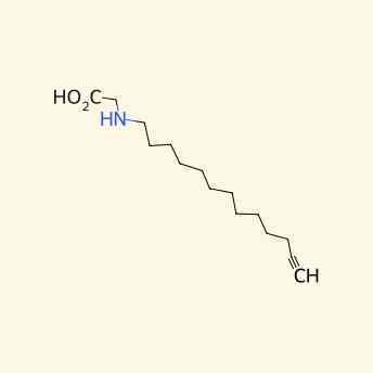 C#CCCCCCCCCCCCNCC(=O)O